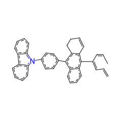 C=C/C=C(\C=C/C)c1c2c(c(-c3ccc(-n4c5ccccc5c5ccccc54)cc3)c3ccccc13)CCC=C2